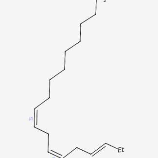 CCC=CC/C=C\C/C=C\CCCCCCCC(=O)O